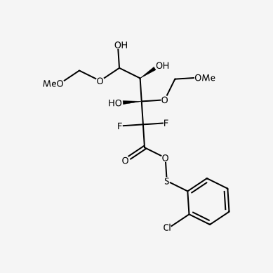 COCOC(O)[C@@H](O)[C@](O)(OCOC)C(F)(F)C(=O)OSc1ccccc1Cl